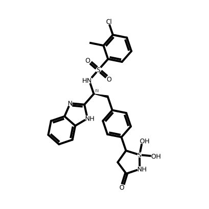 Cc1c(Cl)cccc1S(=O)(=O)N[C@@H](Cc1ccc(C2CC(=O)NS2(O)O)cc1)c1nc2ccccc2[nH]1